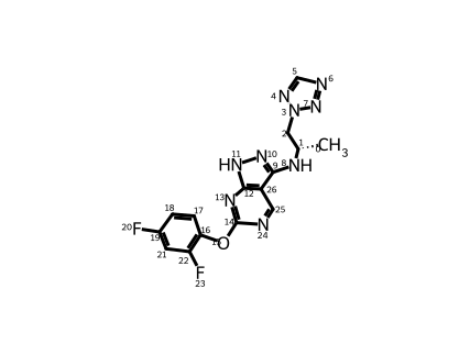 C[C@@H](Cn1ncnn1)Nc1n[nH]c2nc(Oc3ccc(F)cc3F)ncc12